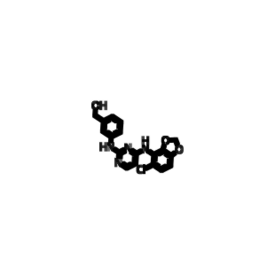 OCc1cccc(Nc2nccc(Nc3c(Cl)ccc4c3OCO4)n2)c1